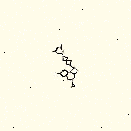 Cc1cc(C)nc(N2CC3(CC(c4nnc5n4-c4ccc(Cl)cc4CN(C4CC4)C5)C3)C2)c1